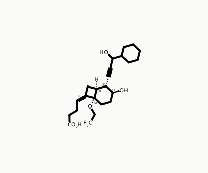 O=C(O)CC/C=C1/C[C@H]2[C@H](C#CC(O)C3CCCCC3)[C@@H](O)CC[C@@]12OCC(F)(F)F